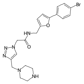 O=C(Cn1cc(CN2CCNCC2)nn1)NCc1ccc(-c2ccc(Br)cc2)o1